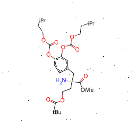 COC(=O)[C@@](N)(CCOC(=O)C(C)(C)C)Cc1ccc(OC(=O)OCCC(C)C)c(OC(=O)OCCC(C)C)c1